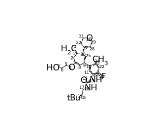 C=C1CC(OCCO)=CC(c2cc(NC(=O)NCCC(C)(C)C)c(F)cc2C)=CC1C1=CCOCC1